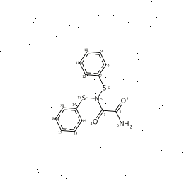 NC(=O)C(=O)N(Sc1ccccc1)Sc1ccccc1